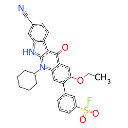 CCOc1cc2c(=O)c3c4ccc(C#N)cc4[nH]c3n(C3CCCCC3)c2cc1-c1cccc(S(=O)(=O)F)c1